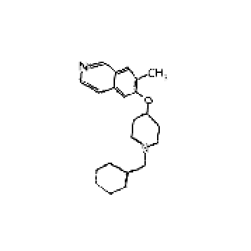 Cc1cc2cnccc2cc1OC1CCN(CC2CCCCC2)CC1